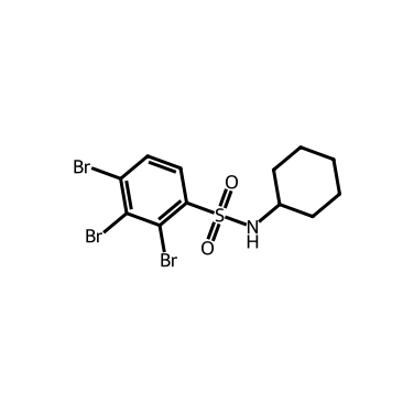 O=S(=O)(NC1CCCCC1)c1ccc(Br)c(Br)c1Br